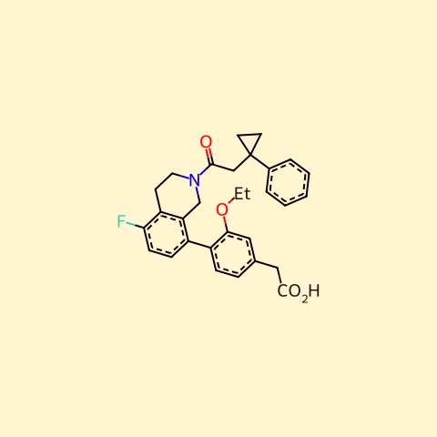 CCOc1cc(CC(=O)O)ccc1-c1ccc(F)c2c1CN(C(=O)CC1(c3ccccc3)CC1)CC2